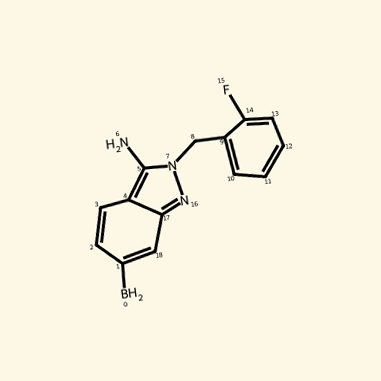 Bc1ccc2c(N)n(Cc3ccccc3F)nc2c1